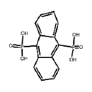 O=P(O)(O)c1c2ccccc2c(P(=O)(O)O)c2ccccc12